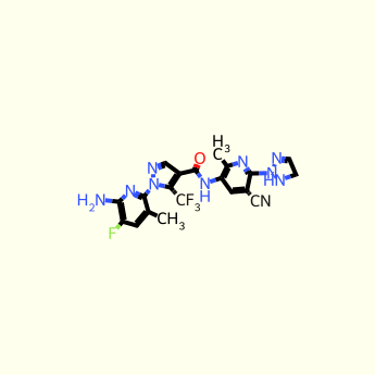 Cc1cc(F)c(N)nc1-n1ncc(C(=O)Nc2cc(C#N)c(N3N=CCN3)nc2C)c1C(F)(F)F